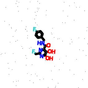 O=C(NCc1ccc(F)cc1)c1nc(CF)nc(O)c1O